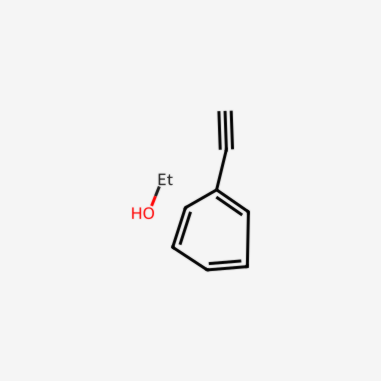 C#Cc1ccccc1.CCO